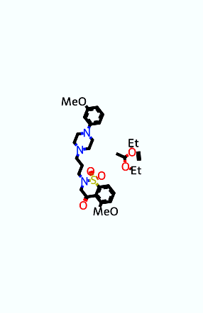 C=C.CCOC(C)OCC.COc1cccc(N2CCN(CCCN3CC(=O)c4c(OC)cccc4S3(=O)=O)CC2)c1